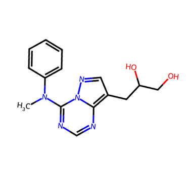 CN(c1ccccc1)c1ncnc2c(CC(O)CO)cnn12